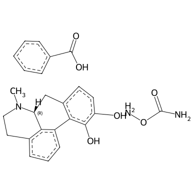 CN1CCc2cccc3c2[C@H]1Cc1ccc(O)c(O)c1-3.NOC(N)=O.O=C(O)c1ccccc1